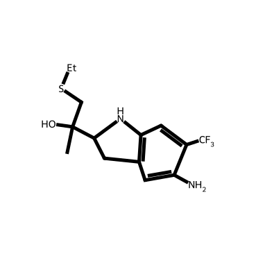 CCSCC(C)(O)C1Cc2cc(N)c(C(F)(F)F)cc2N1